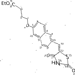 CCOC(=O)CCCOc1ccc2cc(C=C3SC(=O)NC3=O)ccc2c1